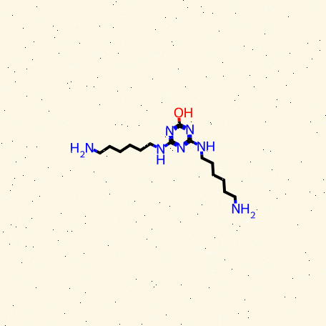 NCCCCCCNc1nc(O)nc(NCCCCCCN)n1